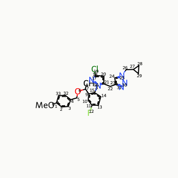 COc1ccc(COC(C)c2cc(F)ccc2-n2nc(Cl)cc2Cc2cn(CC3CC3)nn2)cc1